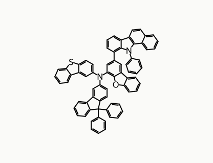 c1ccc(-n2c3c(-c4cc(N(c5ccc6c(c5)-c5ccccc5C6(c5ccccc5)c5ccccc5)c5ccc6sc7ccccc7c6c5)c5oc6ccccc6c5c4)cccc3c3ccc4ccccc4c32)cc1